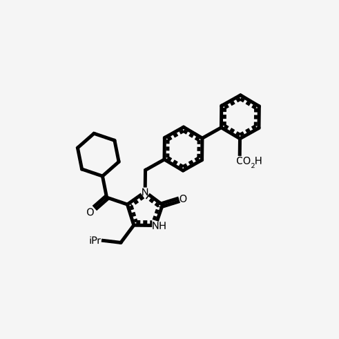 CC(C)Cc1[nH]c(=O)n(Cc2ccc(-c3ccccc3C(=O)O)cc2)c1C(=O)C1CCCCC1